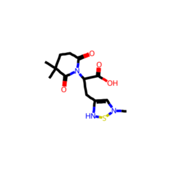 CN1C=C(CC(C(=O)O)N2C(=O)CCC(C)(C)C2=O)NS1